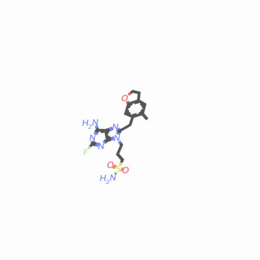 Cc1cc2c(cc1Cc1nc3c(N)nc(F)nc3n1CCCS(N)(=O)=O)OCC2